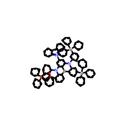 c1ccc(-c2cccc3c2N(c2cccc([Si](c4ccccc4)(c4ccccc4)c4ccccc4)c2)c2cc(-n4c5ccccc5c5ccccc54)cc4c2B3c2ccc([Si](c3ccccc3)(c3ccccc3)c3ccccc3)cc2N4c2cccc([Si](c3ccccc3)(c3ccccc3)c3ccccc3)c2)cc1